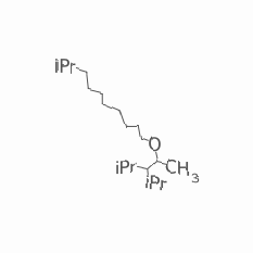 CC(C)CCCCCCCCOC(C)C(C(C)C)C(C)C